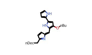 CCCCCCCCCCCC1=N/C(=C/c2[nH]c(-c3ccc[nH]3)cc2OCCCC)C=C1